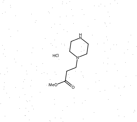 COC(=O)CCN1CCNCC1.Cl